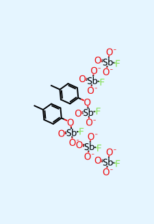 Cc1ccc([O][Sb](=[O])([O-])[F])cc1.Cc1ccc([O][Sb](=[O])([O-])[F])cc1.[O]=[Sb]([O-])([O-])[F].[O]=[Sb]([O-])([O-])[F].[O]=[Sb]([O-])([O-])[F].[O]=[Sb]([O-])([O-])[F]